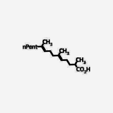 CCCCC/C(C)=C/CC/C(C)=C/CCC(C)C(=O)O